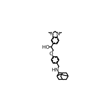 CN1CN(C)c2cc(C(O)COc3ccc(CNC4C5CC6CC(C5)CC4C6)cc3)ccc21